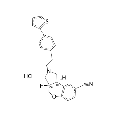 Cl.N#Cc1ccc2c(c1)[C@@H]1CN(CCc3ccc(-c4cccs4)cc3)C[C@H]1CO2